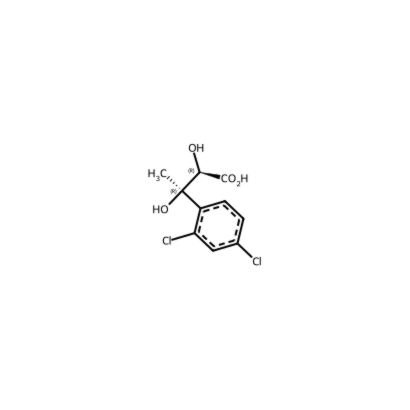 C[C@@](O)(c1ccc(Cl)cc1Cl)[C@@H](O)C(=O)O